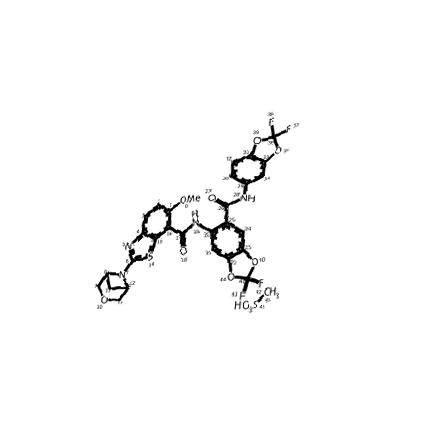 COc1ccc2nc(N3C4COCC3C4)sc2c1C(=O)Nc1cc2c(cc1C(=O)Nc1ccc3c(c1)OC(F)(F)O3)OC(F)(F)O2.CS(=O)(=O)O